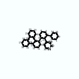 c1ccc(-c2cccc(-c3cccc4c5ccccc5c5ccccc5c34)c2-c2ccnnn2)cc1